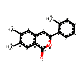 Cc1cc2cc(-c3ccccc3C)oc(=O)c2cc1C